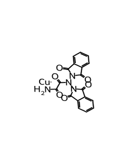 NC(=O)C(=O)N(N1C(=O)c2ccccc2C1=O)N1C(=O)c2ccccc2C1=O.[Cu]